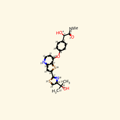 CNC(=O)C(O)c1ccc(Oc2ccnc3cc(-c4nc(C(C)(C)O)cs4)sc23)cc1